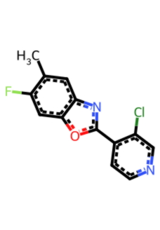 Cc1cc2nc(-c3ccncc3Cl)oc2cc1F